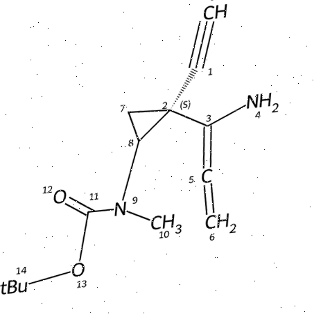 C#C[C@@]1(C(N)=C=C)CC1N(C)C(=O)OC(C)(C)C